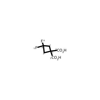 O=C(O)C1(C(=O)O)CC(F)(F)C1